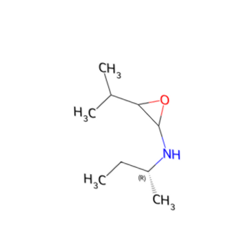 CC[C@@H](C)NC1OC1C(C)C